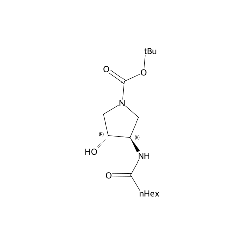 CCCCCCC(=O)N[C@@H]1CN(C(=O)OC(C)(C)C)C[C@H]1O